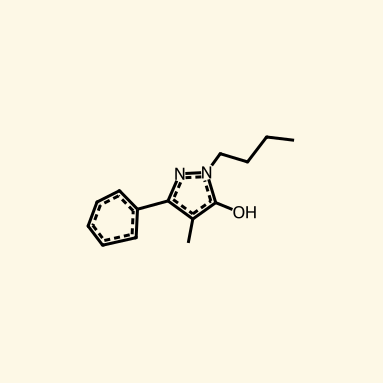 CCCCn1nc(-c2ccccc2)c(C)c1O